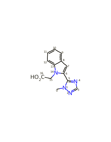 Cn1ncnc1-c1cc2ccccc2n1CC(=O)O